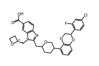 O=C(O)c1ccc2nc(CC3CCC(c4cccc5c4OCC(c4ccc(Cl)cc4F)O5)CO3)n(C[C@@H]3CCO3)c2c1